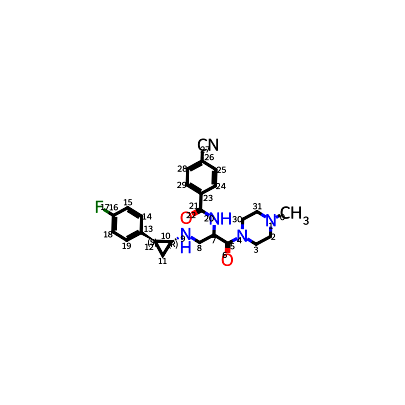 CN1CCN(C(=O)C(CN[C@@H]2C[C@H]2c2ccc(F)cc2)NC(=O)c2ccc(C#N)cc2)CC1